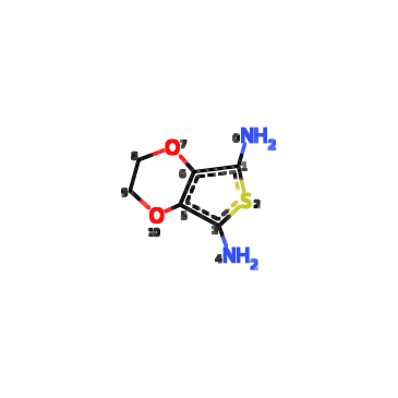 Nc1sc(N)c2c1OCCO2